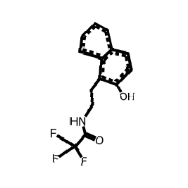 O=C(NCCc1c(O)ccc2ccccc12)C(F)(F)F